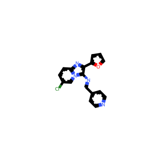 Clc1ccc2nc(-c3ccco3)c(/N=C/c3ccncc3)n2c1